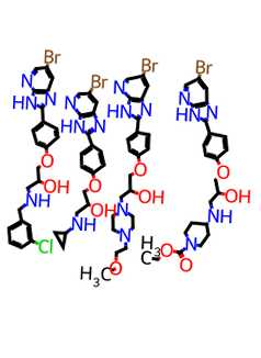 CCOC(=O)N1CCC(NCC(O)COc2ccc(-c3nc4cc(Br)cnc4[nH]3)cc2)CC1.COCCN1CCN(CC(O)COc2ccc(-c3nc4cc(Br)cnc4[nH]3)cc2)CC1.OC(CNC1CC1)COc1ccc(-c2nc3cc(Br)cnc3[nH]2)cc1.OC(CNCc1cccc(Cl)c1)COc1ccc(-c2nc3cc(Br)cnc3[nH]2)cc1